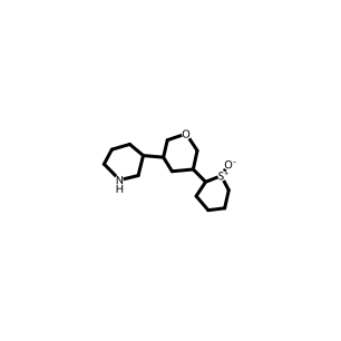 [O-][S+]1CCCCC1C1COCC(C2CCCNC2)C1